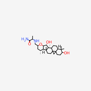 CC(NCC1C[C@@H](C)[C@H]2C(O1)[C@H](O)[C@@]1(C)C3CC[C@H]4C(C)(C)C(O)CCC45CC35CCC21C)C(N)=O